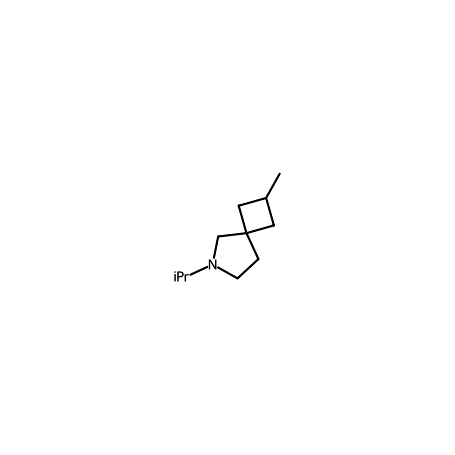 CC1CC2(CCN(C(C)C)C2)C1